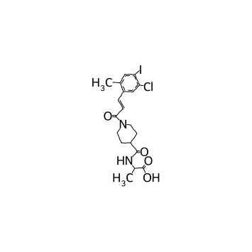 Cc1cc(I)c(Cl)cc1C=CC(=O)N1CCC(C(=O)NC(C)C(=O)O)CC1